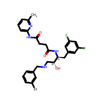 CCc1cccc(CNC[C@@H](O)[C@H](Cc2cc(F)cc(F)c2)NC(=O)CCC(=O)Nc2cccc(C)n2)c1